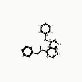 c1ccc(CNc2ncnc3ncn(Cc4ccccc4)c23)cc1